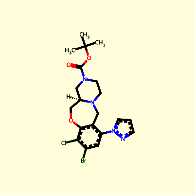 CC(C)(C)OC(=O)N1CCN2Cc3c(-n4cccn4)cc(Br)c(Cl)c3OC[C@H]2C1